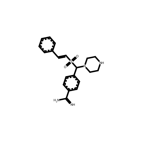 N=C(N)c1ccc(C(N2CCNCC2)S(=O)(=O)/C=C/c2ccccc2)cc1